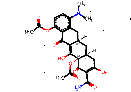 CC(=O)Oc1ccc(N(C)C)c2c1C(=O)C1=C(O)[C@]3(OC(C)=O)C(=O)C(C(N)=O)=C(O)C[C@@H]3C[C@@H]1C2